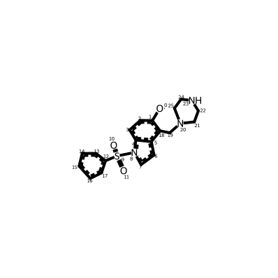 [O]c1ccc2c(ccn2S(=O)(=O)c2ccccc2)c1CN1CCNCC1